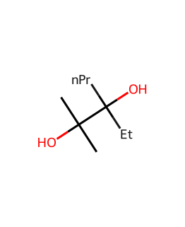 CCCC(O)(CC)C(C)(C)O